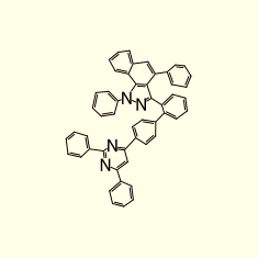 c1ccc(-c2cc(-c3ccc(-c4ccccc4-c4nn(-c5ccccc5)c5c4c(-c4ccccc4)cc4ccccc45)cc3)nc(-c3ccccc3)n2)cc1